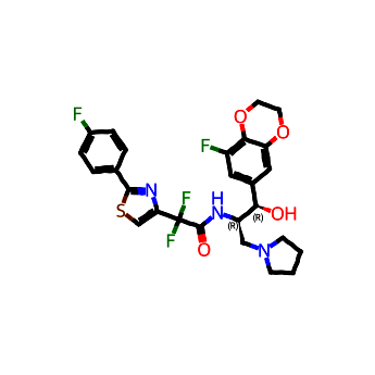 O=C(N[C@H](CN1CCCC1)[C@H](O)c1cc(F)c2c(c1)OCCO2)C(F)(F)c1csc(-c2ccc(F)cc2)n1